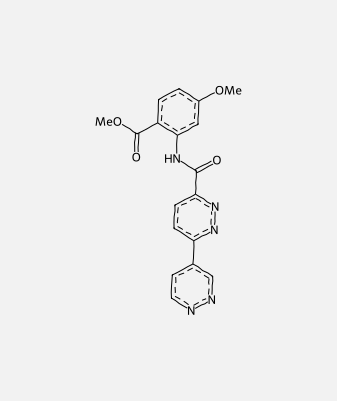 COC(=O)c1ccc(OC)cc1NC(=O)c1ccc(-c2ccnnc2)nn1